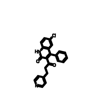 O=C(CCc1ccncc1)c1c(-c2ccccc2)c2cc(Cl)ccc2[nH]c1=O